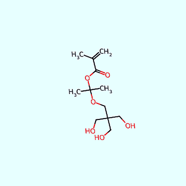 C=C(C)C(=O)OC(C)(C)OCC(CO)(CO)CO